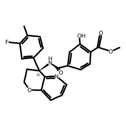 COC(=O)c1ccc(C(=O)N[C@]2(c3ccc(C)c(F)c3)CCOc3cccnc32)cc1O